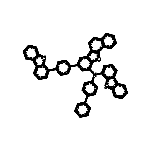 c1ccc(-c2ccc(N(c3cc(-c4ccc(-c5cccc6c5sc5ccccc56)cc4)cc4c3oc3c5ccccc5ccc43)c3cccc4c3sc3ccccc34)cc2)cc1